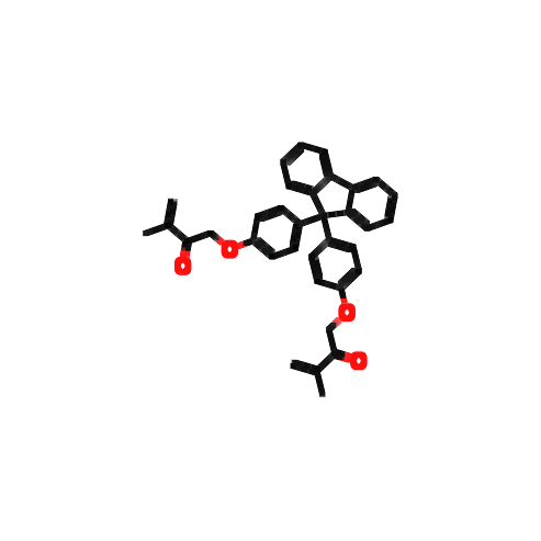 C=C(C)C(=O)COc1ccc(C2(c3ccc(OCC(=O)C(=C)C)cc3)c3ccccc3-c3ccccc32)cc1